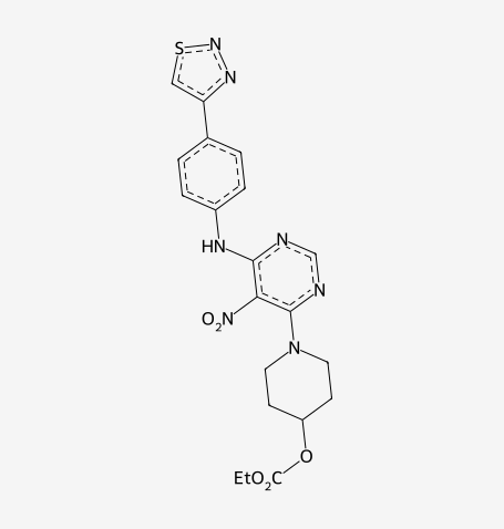 CCOC(=O)OC1CCN(c2ncnc(Nc3ccc(-c4csnn4)cc3)c2[N+](=O)[O-])CC1